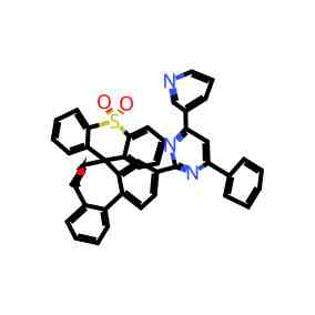 O=S1(=O)c2ccccc2C2(c3ccccc3-c3ccccc3-c3ccc(-c4nc(-c5ccccc5)cc(-c5cccnc5)n4)cc32)c2ccccc21